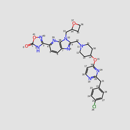 O=c1[nH]c(-c2ccc3nc(CN4CCC(Oc5ccnc(Cc6ccc(Cl)cc6)n5)CC4)n(CC4CCO4)c3n2)no1